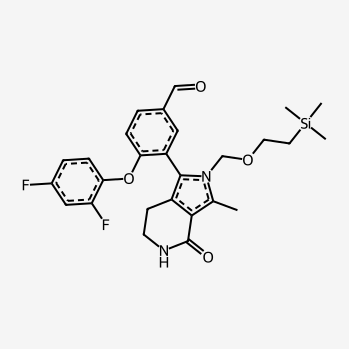 Cc1c2c(c(-c3cc(C=O)ccc3Oc3ccc(F)cc3F)n1COCC[Si](C)(C)C)CCNC2=O